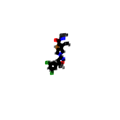 CONC(=O)c1sc2c(c1C)CN(C1=NOC(c3cc(Cl)cc(Cl)c3)(C(F)(F)F)C1)C2